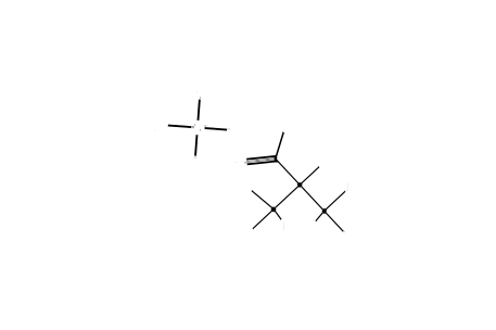 C[N+](C)(C)C.O=C([O-])C(O)(C(F)(F)F)C(F)(F)F